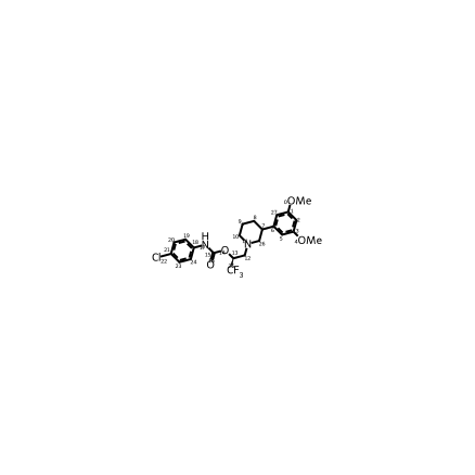 COc1cc(OC)cc(C2CCCN(C[C@H](OC(=O)Nc3ccc(Cl)cc3)C(F)(F)F)C2)c1